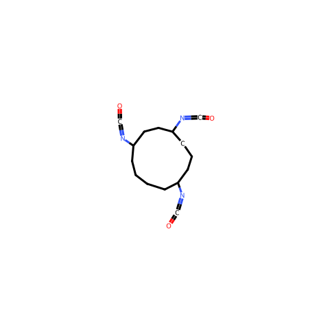 O=C=NC1CCCCC(N=C=O)CCC(N=C=O)CCC1